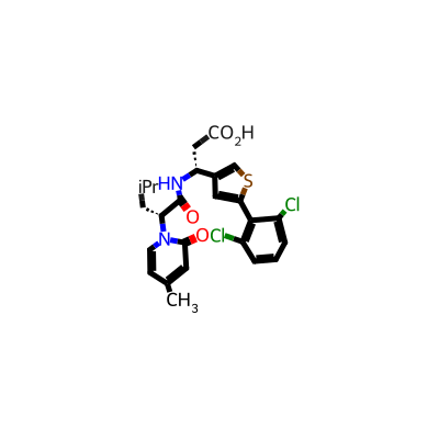 Cc1ccn([C@H](CC(C)C)C(=O)N[C@H](CC(=O)O)c2csc(-c3c(Cl)cccc3Cl)c2)c(=O)c1